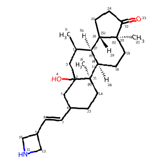 CC1CC2(O)CC(C=CC3CNC3)CC[C@]2(C)[C@@H]2CC[C@]3(C)C(=O)CC[C@H]3[C@H]12